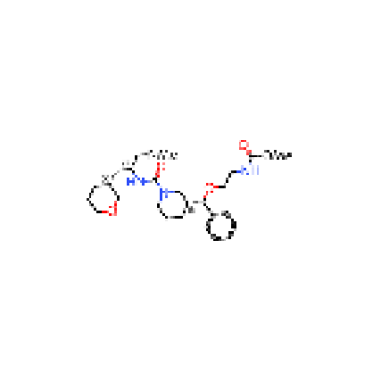 CNC[C@H](C[C@H]1CCCOC1)NC(=O)N1CCC[C@@H](C(OCCNC(=O)OC)c2ccccc2)C1